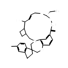 CC(C)C[C@@H]1CC/C=C/C(O)C2CCC2CN2CC3(CCc4cc(Cl)ccc43)COc3ccc(cc32)C(=O)NS1